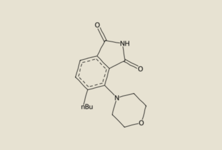 CCCCc1ccc2c(c1N1CCOCC1)C(=O)NC2=O